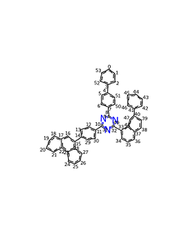 c1ccc(-c2ccc(-c3nc(-c4ccc(-c5cc6ccccc6c6ccccc56)cc4)nc(-c4cccc5ccc(-c6ccccc6)cc45)n3)cc2)cc1